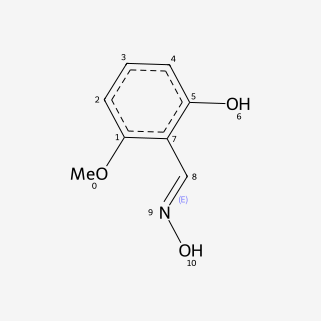 COc1cccc(O)c1/C=N/O